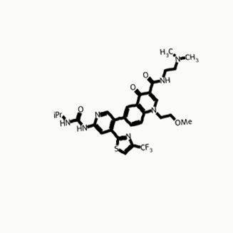 COCCn1cc(C(=O)NCCN(C)C)c(=O)c2cc(-c3cnc(NC(=O)NC(C)C)cc3-c3nc(C(F)(F)F)cs3)ccc21